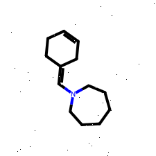 C1=CCC(=CN2CCCCCC2)CC1